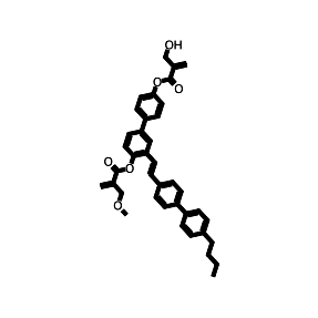 C=C(CO)C(=O)Oc1ccc(-c2ccc(OC(=O)C(=C)COC)c(/C=C/c3ccc(-c4ccc(CCCC)cc4)cc3)c2)cc1